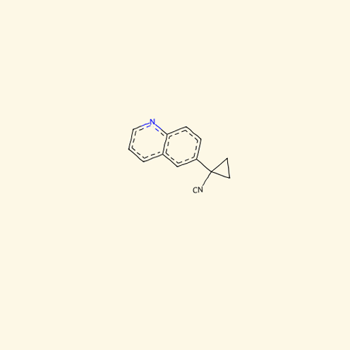 [C-]#[N+]C1(c2ccc3ncccc3c2)CC1